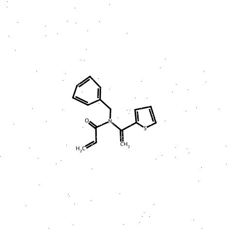 C=CC(=O)N(Cc1ccccc1)C(=C)c1cccs1